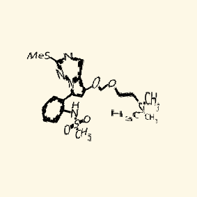 CSc1ncc2c(OCOCC[Si](C)(C)C)cc(-c3ccccc3NS(C)(=O)=O)n2n1